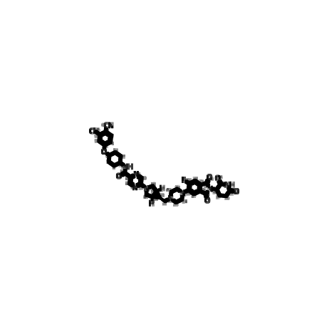 N#Cc1ccc(OC2CCC(NC(=O)c3cnc(N4C[C@@H]5[C@@H](CN6CCN(c7cc8c(cc7F)C(=O)N(C7CCC(=O)NC7=O)C8=O)CC6)[C@@H]5C4)cn3)CC2)cc1Cl